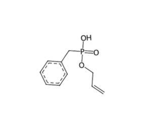 C=CCOP(=O)(O)Cc1ccccc1